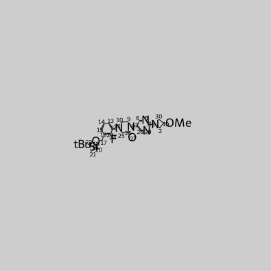 COC1CN(c2ncc(N3CCN(c4cccc(CO[Si](C)(C)C(C)(C)C)c4F)CC3=O)cn2)C1